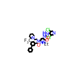 CCn1nc(N(CCN2CCCCC2)C(=O)c2cc(-c3ccccc3)cc(C(F)(F)F)c2)cc(NC(=O)Nc2c(Cl)cncc2Cl)c1=O